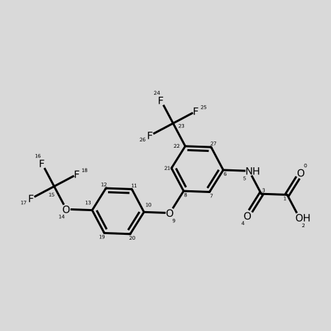 O=C(O)C(=O)Nc1cc(Oc2ccc(OC(F)(F)F)cc2)cc(C(F)(F)F)c1